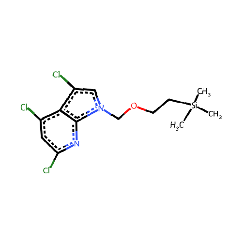 C[Si](C)(C)CCOCn1cc(Cl)c2c(Cl)cc(Cl)nc21